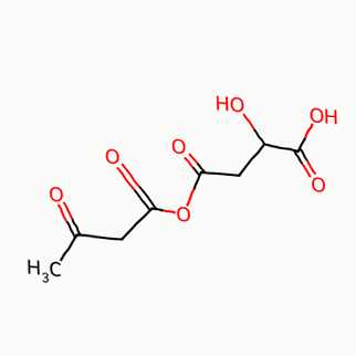 CC(=O)CC(=O)OC(=O)CC(O)C(=O)O